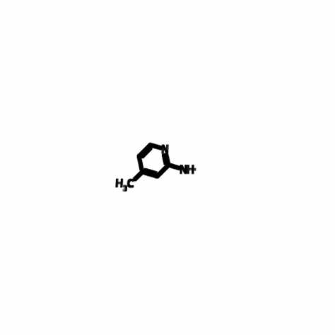 Cc1ccnc([NH])c1